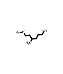 CC(C)CCCC(C)CCOC(C)C